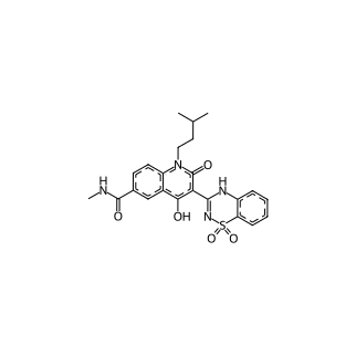 CNC(=O)c1ccc2c(c1)c(O)c(C1=NS(=O)(=O)c3ccccc3N1)c(=O)n2CCC(C)C